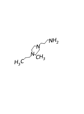 CCCN1CCN(CCCN)CC1C